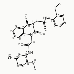 COc1ccccc1NC(=O)Cn1c(=O)c2ccccc2n(CC(=O)Nc2cc(Cl)ccc2OC)c1=O